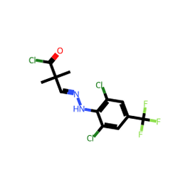 CC(C)(C=NNc1c(Cl)cc(C(F)(F)F)cc1Cl)C(=O)Cl